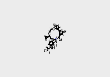 CC(Nc1ccc2c(c1)N/C1=N\C(=O)c3cc(F)nc(c3)-c3cnn(C)c3OCCCC(C3CC3)CN12)C(F)(F)F